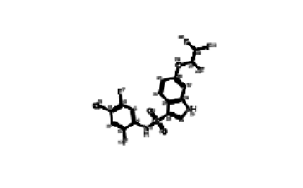 O=S(=O)(Nc1cc(F)c(Cl)cc1F)c1c[nH]c2cc(OC(F)C(F)F)ccc12